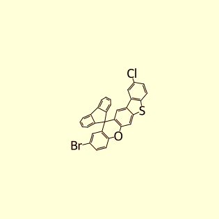 Clc1ccc2sc3cc4c(cc3c2c1)C1(c2cc(Br)ccc2O4)c2ccccc2-c2ccccc21